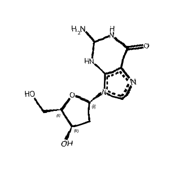 NC1NC(=O)c2ncn([C@H]3C[C@@H](O)[C@@H](CO)O3)c2N1